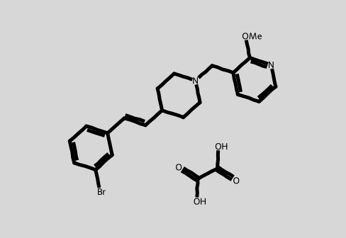 COc1ncccc1CN1CCC(C=Cc2cccc(Br)c2)CC1.O=C(O)C(=O)O